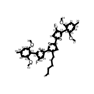 CCCCCCc1cc(-c2cc(F)c(-c3c(OC)cc(C)cc3OC)s2)sc1-c1cc(F)c(-c2c(OC)cc(C)cc2OC)s1